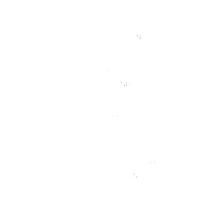 CN(C)C/C(=C/C(=O)NCCOc1ccc(C(=O)NO)cc1)c1cc2ccccc2o1